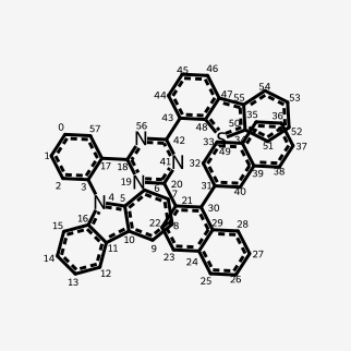 c1ccc(-n2c3ccccc3c3ccccc32)c(-c2nc(-c3ccc4ccccc4c3-c3ccc4ccccc4c3)nc(-c3cccc4c3sc3ccccc34)n2)c1